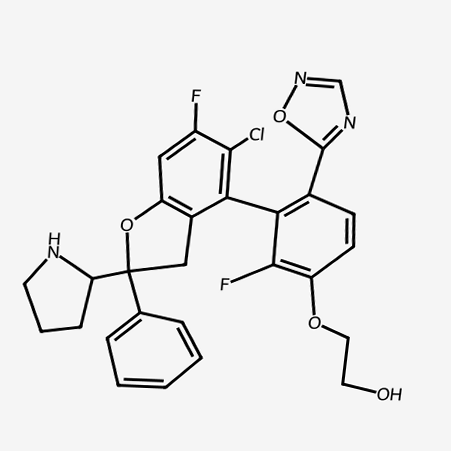 OCCOc1ccc(-c2ncno2)c(-c2c(Cl)c(F)cc3c2CC(c2ccccc2)(C2CCCN2)O3)c1F